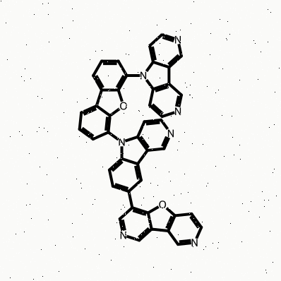 c1cc(-n2c3ccncc3c3cnccc32)c2oc3c(-n4c5ccncc5c5cc(-c6cncc7c6oc6ccncc67)ccc54)cccc3c2c1